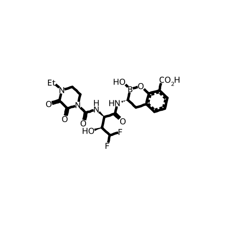 CCN1CCN(C(=O)N[C@@H](C(=O)N[C@H]2Cc3cccc(C(=O)O)c3OB2O)[C@H](O)C(F)F)C(=O)C1=O